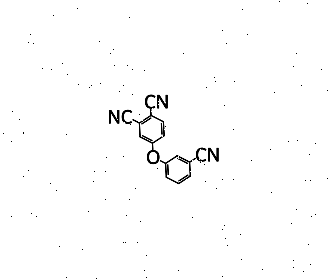 N#Cc1cccc(Oc2ccc(C#N)c(C#N)c2)c1